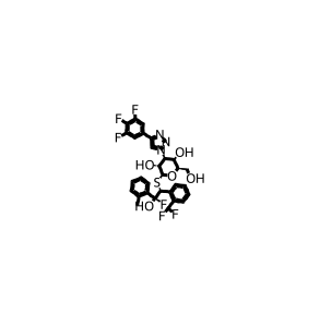 Cc1ccccc1[C@@](C)(O)[C@H](S[C@@H]1O[C@H](CO)[C@H](O)[C@H](n2cc(-c3cc(F)c(F)c(F)c3)nn2)[C@H]1O)c1ccccc1C(F)(F)F